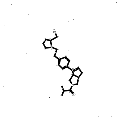 CC(C)C(=O)N1CC2CC=C(c3ccc(CCN4CCCC4CO)cc3)C2C1